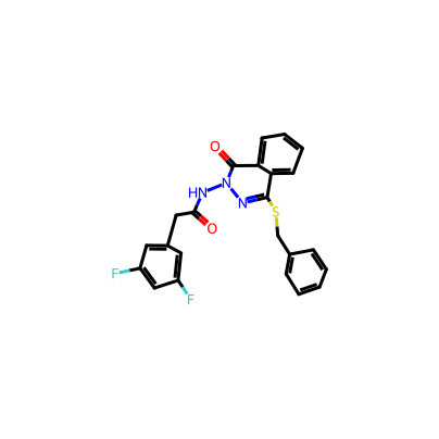 O=C(Cc1cc(F)cc(F)c1)Nn1nc(SCc2ccccc2)c2ccccc2c1=O